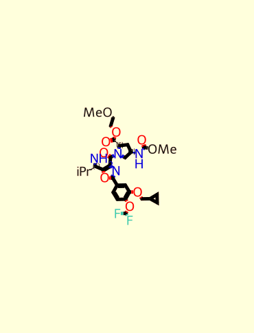 COCCOC(=O)[C@@H]1C[C@@H](NC(=O)OC)CN1C(=O)c1nc(-c2ccc(OC(F)F)c(OCC3CC3)c2)oc1[C@@H](N)C(C)C